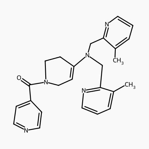 Cc1cccnc1CN(Cc1ncccc1C)C1=CCN(C(=O)c2ccncc2)CC1